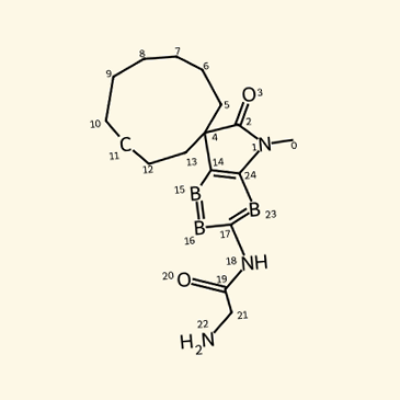 CN1C(=O)C2(CCCCCCCCC2)c2bbc(NC(=O)CN)bc21